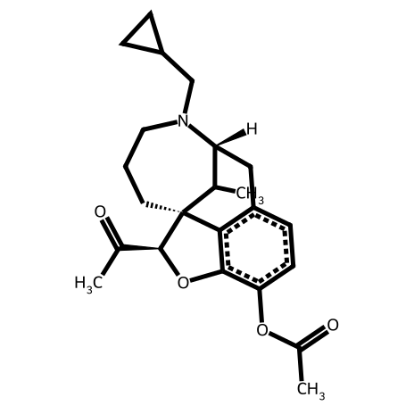 CC(=O)Oc1ccc2c3c1O[C@@H](C(C)=O)[C@]31CCCN(CC3CC3)[C@H](C2)C1C